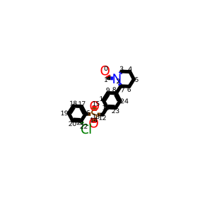 O=CN1CCCCC1c1ccc(CS(=O)(=O)c2ccccc2Cl)cc1